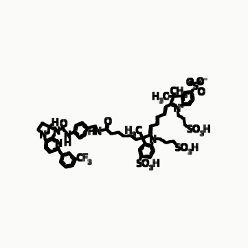 CC1(C)C(/C=C/C=C/C=C2\N(CCCS(=O)(=O)O)c3ccc(S(=O)(=O)O)cc3C2(C)CCCCCC(=O)NCc2ccc(NC(=O)N3c4nc(-c5cccc(C(F)(F)F)c5)ccc4N4CC[C@H]3C4)cc2)=[N+](CCCS(=O)(=O)O)c2ccc(S(=O)(=O)[O-])cc21